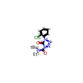 CCN(C(=O)n1nnn(-c2ccccc2Cl)c1=O)C(C)(C)C